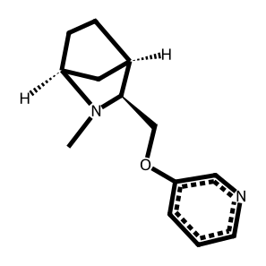 CN1[C@H]2CC[C@H](C2)[C@H]1COc1cccnc1